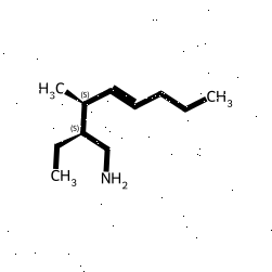 CCCC=C[C@H](C)[C@H](CC)CN